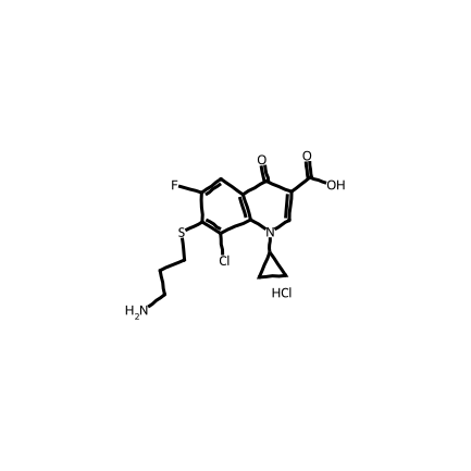 Cl.NCCCSc1c(F)cc2c(=O)c(C(=O)O)cn(C3CC3)c2c1Cl